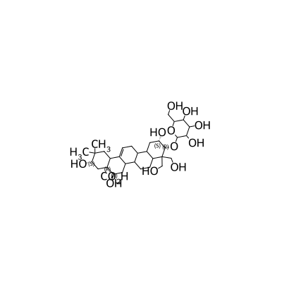 CC1(C)CC2C3=CCC4C(CCC5C4C[C@H](O)[C@H](OC4OC(CO)C(O)C(O)C4O)C5(CO)CO)C3C[C@@H](O)[C@@]2(C(=O)O)C[C@@H]1O